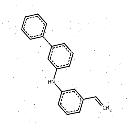 C=Cc1cccc(Nc2cccc(-c3ccccc3)c2)c1